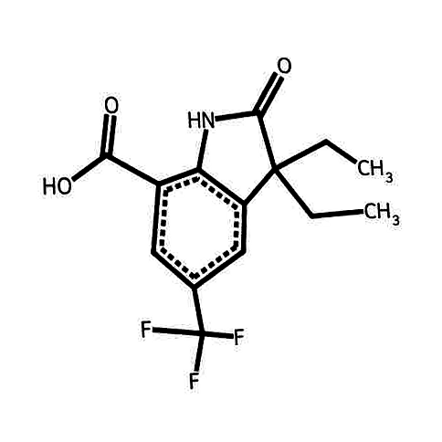 CCC1(CC)C(=O)Nc2c(C(=O)O)cc(C(F)(F)F)cc21